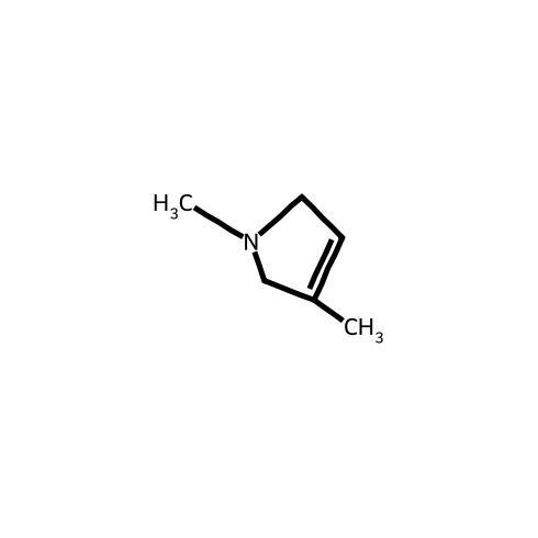 CC1=CCN(C)C1